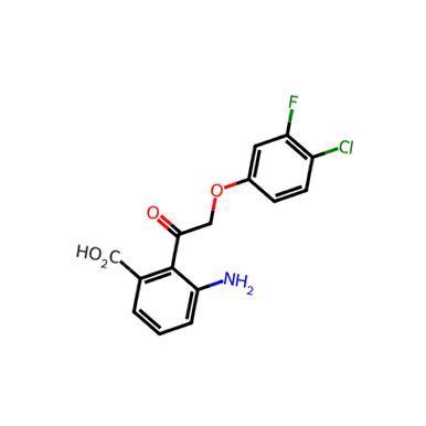 Nc1cccc(C(=O)O)c1C(=O)COc1ccc(Cl)c(F)c1